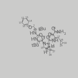 CC(C)(C)[C@H](NC(=O)N[C@H](COc1ccccc1)C(C)(C)C)C(=O)N1C[C@H]2[C@@H]([C@H]1C(=O)NC(CC1CC1)C(=O)C(N)=O)C2(C)C